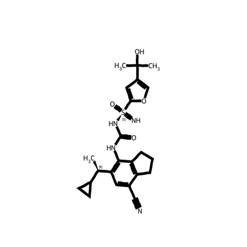 C[C@@H](c1cc(C#N)c2c(c1NC(=O)N[S@@](=N)(=O)c1cc(C(C)(C)O)co1)CCC2)C1CC1